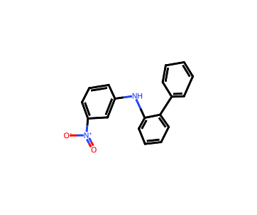 O=[N+]([O-])c1cccc(Nc2ccccc2-c2ccccc2)c1